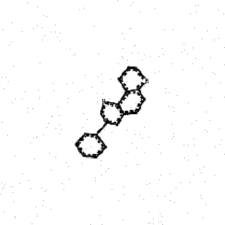 c1ccc(-c2cnc3c(ccc4ncccc43)c2)cc1